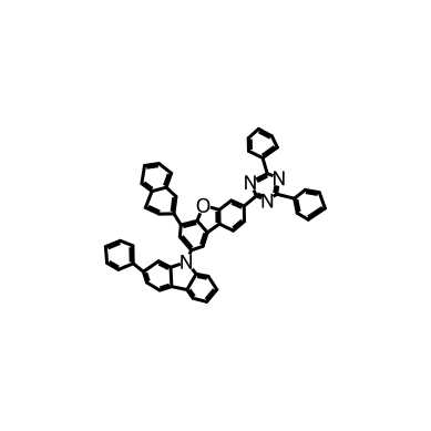 c1ccc(-c2ccc3c4ccccc4n(-c4cc(-c5ccc6ccccc6c5)c5oc6cc(-c7nc(-c8ccccc8)nc(-c8ccccc8)n7)ccc6c5c4)c3c2)cc1